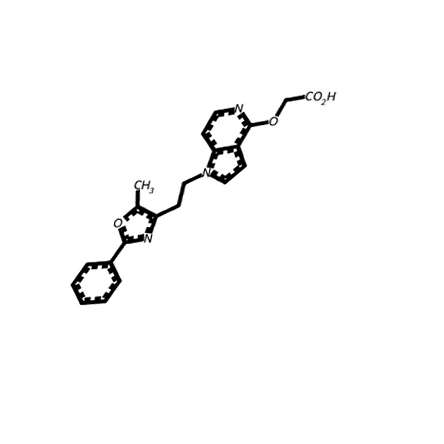 Cc1oc(-c2ccccc2)nc1CCn1ccc2c(OCC(=O)O)nccc21